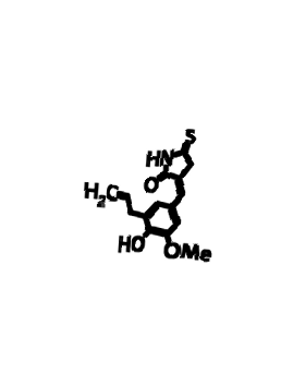 C=CCc1cc(/C=C2/CC(=S)NC2=O)cc(OC)c1O